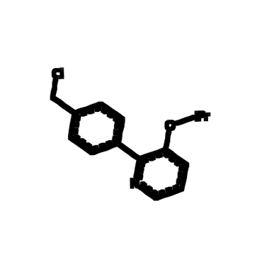 CC(C)Oc1cccnc1-c1ccc(CCl)cc1